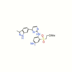 COCCS(=O)(=O)c1ccccc1Nc1nccc(-c2ccc3c(C)n[nH]c3c2)n1.N